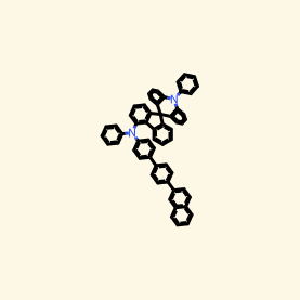 c1ccc(N(c2ccc(-c3ccc(-c4ccc5ccccc5c4)cc3)cc2)c2cccc3c2-c2ccccc2C32c3ccccc3N(c3ccccc3)c3ccccc32)cc1